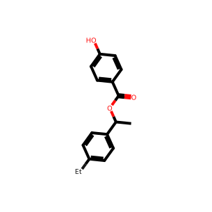 CCc1ccc(C(C)OC(=O)c2ccc(O)cc2)cc1